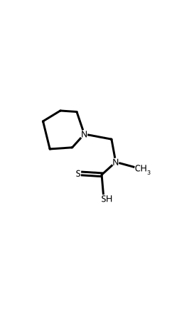 CN(CN1CCCCC1)C(=S)S